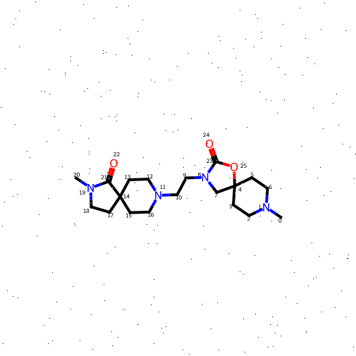 CN1CCC2(CC1)CN(CCN1CCC3(CC1)CCN(C)C3=O)C(=O)O2